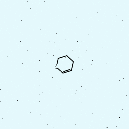 C1=CSCCC1